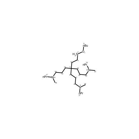 CCCCO[SiH2]CCC(CCCN(C)CCC)(CCCN(C)CCC)CCCN(C)CCC